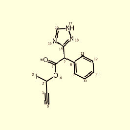 C#CC(I)OC(=O)C(c1ccccc1)c1nc[nH]n1